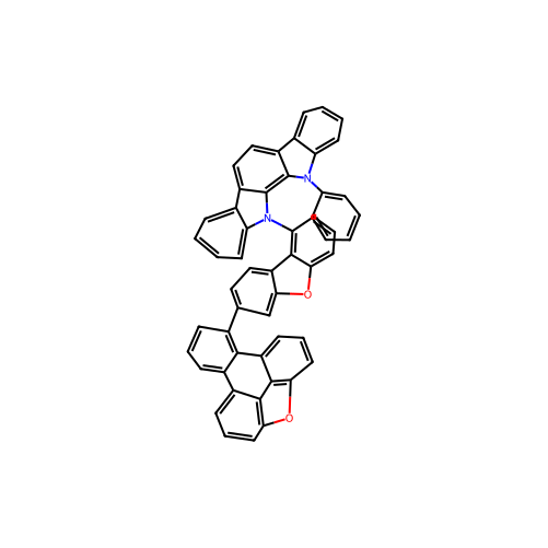 c1ccc(-n2c3ccccc3c3ccc4c5ccccc5n(-c5cccc6oc7cc(-c8cccc9c%10cccc%11oc%12cccc(c89)c%12c%11%10)ccc7c56)c4c32)cc1